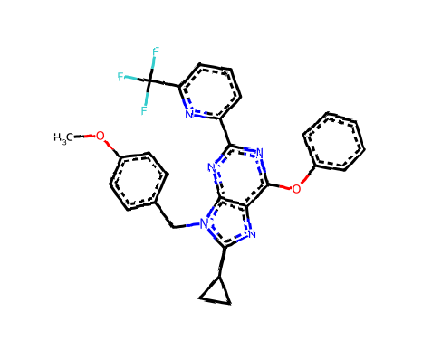 COc1ccc(Cn2c(C3CC3)nc3c(Oc4ccccc4)nc(-c4cccc(C(F)(F)F)n4)nc32)cc1